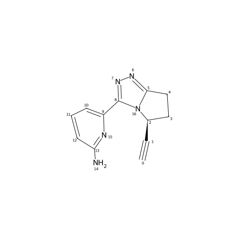 C#C[C@@H]1CCc2nnc(-c3cccc(N)n3)n21